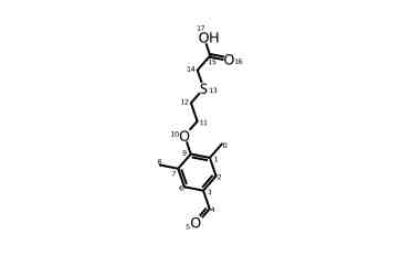 Cc1cc(C=O)cc(C)c1OCCSCC(=O)O